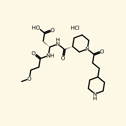 COCCC(=O)N[C@H](CC(=O)O)NC(=O)[C@@H]1CCCN(C(=O)CCC2CCNCC2)C1.Cl